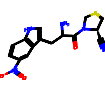 N#C[C@H]1CSCN1C(=O)C(N)Cc1c[nH]c2ccc([N+](=O)[O-])cc12